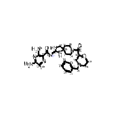 Nc1nc(N)c(C(=O)/N=C2\NCC3(CCN(C(=O)C4CN(Cc5ccccc5)CCO4)CC3)N2)nc1I